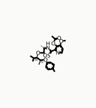 COc1ccnc(C(=S)N[C@@H](C)C(=O)O[C@H](C(C)C)[C@H](C)Oc2ccc(C)cc2)c1OC(C)=O